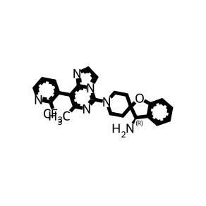 Cc1nc(N2CCC3(CC2)Oc2ccccc2[C@H]3N)n2ccnc2c1-c1cccnc1C(F)(F)F